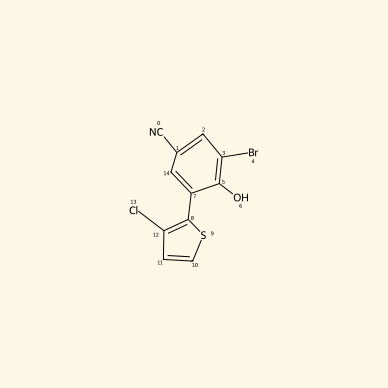 N#Cc1cc(Br)c(O)c(-c2sccc2Cl)c1